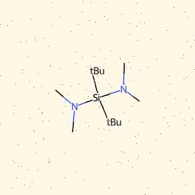 CN(C)[Si](N(C)C)(C(C)(C)C)C(C)(C)C